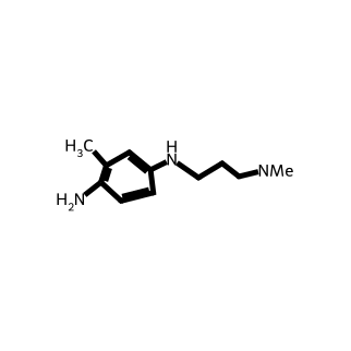 CNCCCNc1ccc(N)c(C)c1